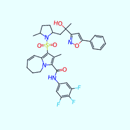 Cc1c(S(=O)(=O)N2C(C)CCC2CC(C)(O)c2cc(-c3ccccc3)on2)c2n(c1C(=O)Nc1cc(F)c(F)c(F)c1)CCCC=C2